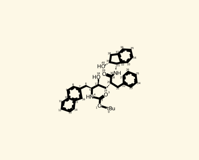 CC(C)(C)OC(=O)N[C@@H](Cc1ccc2ccccc2c1)[C@@H](O)C[C@@H](Cc1ccccc1)C(=O)N[C@H]1c2ccccc2C[C@H]1O